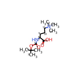 CC(C)(C)OC(=O)NC(CCC[N+](C)(C)C)C(=O)O